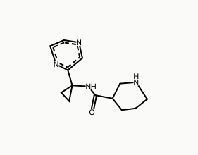 O=C(NC1(c2cnccn2)CC1)C1CCCNC1